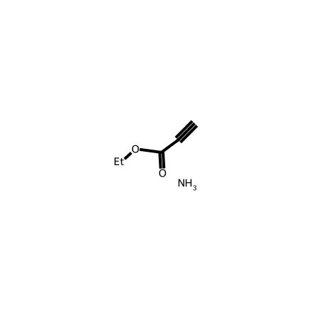 C#CC(=O)OCC.N